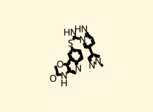 Cn1cc(-c2ccc(=N)n(C(=N)Sc3ccc4ncc5c(c4c3)OCC(=O)N5)c2)cn1